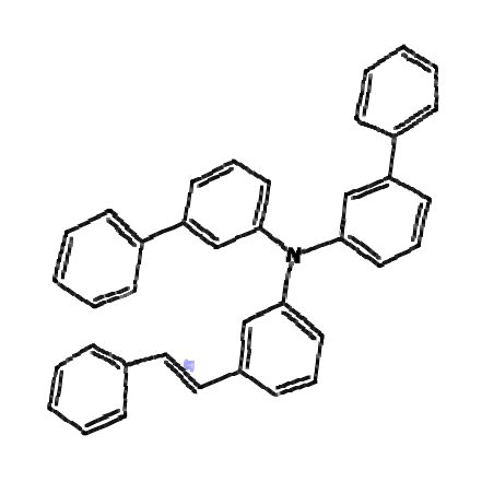 C(=C\c1cccc(N(c2cccc(-c3ccccc3)c2)c2cccc(-c3ccccc3)c2)c1)/c1ccccc1